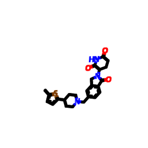 Cc1ccc(C2CCN(Cc3ccc4c(c3)CN(C3CCC(=O)NC3=O)C4=O)CC2)s1